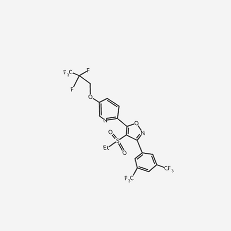 CCS(=O)(=O)c1c(-c2cc(C(F)(F)F)cc(C(F)(F)F)c2)noc1-c1ccc(OCC(F)(F)C(F)(F)F)cn1